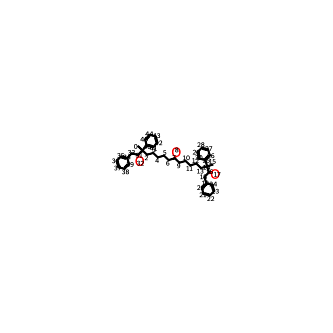 CC(CCCCCC(=O)CCCCCC(C)(C(=O)Cc1ccccc1)c1ccccc1)(C(=O)Cc1ccccc1)c1ccccc1